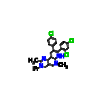 CC1=NC2C(=CN(C)C3NC(c4ccc(Cl)cc4Cl)=C(c4ccc(Cl)cc4)C=C23)CN1C(C)C